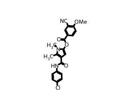 COc1ccc(C(=O)Oc2cc(C(=O)Nc3ccc(Cl)cc3)c(C)n2C)cc1C#N